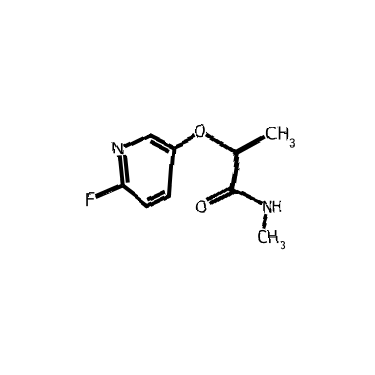 CNC(=O)C(C)Oc1ccc(F)nc1